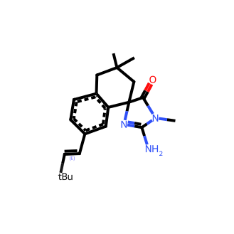 CN1C(=O)C2(CC(C)(C)Cc3ccc(/C=C/C(C)(C)C)cc32)N=C1N